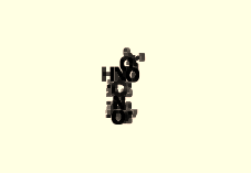 CC(C)(C)OC(=O)NC1CCC(N2CCOC(C)(C)C2)CC1